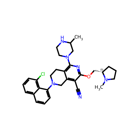 CC1CN(c2nc(OC[C@@H]3CCCN3C)c(C#N)c3c2CCN(c2cccc4cccc(Cl)c24)C3)CCN1